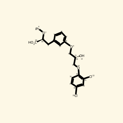 CC(C)O[C@@H](Cc1cccc(OC[C@H](O)COc2ccc(Cl)cc2Cl)c1)C(=O)O